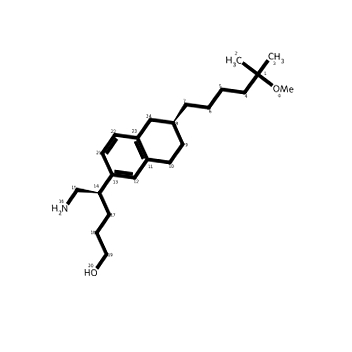 COC(C)(C)CCCC[C@H]1CCc2cc([C@H](CN)CCCO)ccc2C1